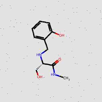 CNC(=O)[C@H](CO)NCc1ccccc1O